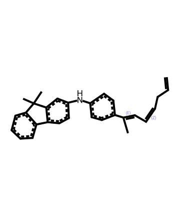 C=CC/C=C\C=C(/C)c1ccc(Nc2ccc3c(c2)C(C)(C)c2ccccc2-3)cc1